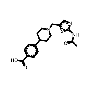 CC(=O)Nc1ncc(CN2CCC(c3ccc(C(=O)O)cc3)CC2)s1